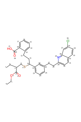 CCOC(=O)C(CC)CSC(CCc1ccccc1C(=O)O)c1cccc(CCc2ccc3ccc(Cl)cc3n2)c1